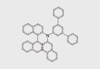 c1ccc(-c2cc(-c3ccccc3)cc(N(c3ccc4ccccc4c3)c3ccc4ccccc4c3-c3cccc4ccccc34)c2)cc1